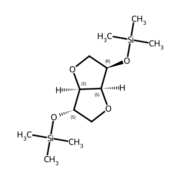 C[Si](C)(C)O[C@H]1CO[C@H]2[C@@H]1OC[C@H]2O[Si](C)(C)C